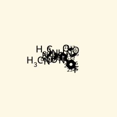 Cc1noc([C@@H](C)NC(=O)N2C[C@H](N3CCOCC3=O)C(c3ccc(F)cc3)=N2)n1